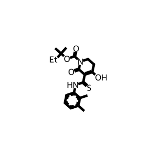 CCC(C)(C)OC(=O)N1CCC(O)=C(C(=S)Nc2cccc(C)c2C)C1=O